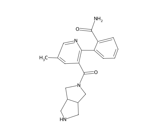 Cc1cnc(-c2ccccc2C(N)=O)c(C(=O)N2CC3CNCC3C2)c1